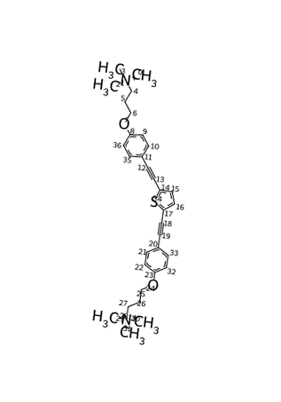 C[N+](C)(C)CCCOc1ccc(C#Cc2ccc(C#Cc3ccc(OCCC[N+](C)(C)C)cc3)s2)cc1